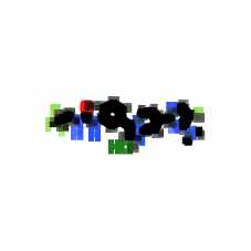 CN(C)c1nc(-c2ccn3c(-c4cccc(NC(=O)NCC(F)(F)F)c4)cnc3c2)ncc1F.Cl